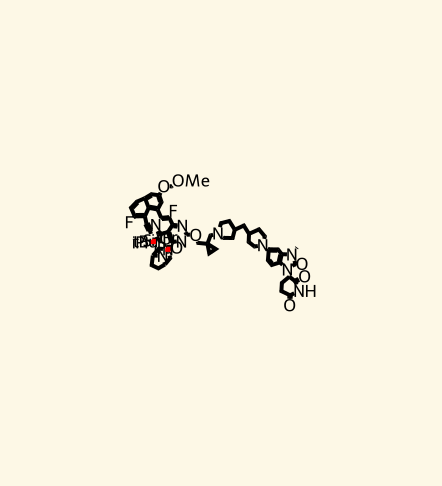 COCOc1cc(-c2ncc3c(N4CC5CCC(C4)N5C(=O)OC(C)(C)C)nc(OCC4(CN5CCC(CC6CCN(c7ccc8c(c7)n(C)c(=O)n8C7CCC(=O)NC7=O)CC6)CC5)CC4)nc3c2F)c2c(C#C[Si](C(C)C)(C(C)C)C(C)C)c(F)ccc2c1